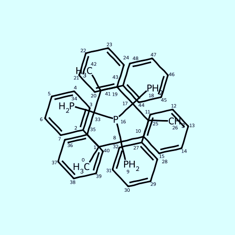 CC(c1ccccc1)C(P)(c1ccccc1)P(C(P)(c1ccccc1)C(C)c1ccccc1)C(P)(c1ccccc1)C(C)c1ccccc1